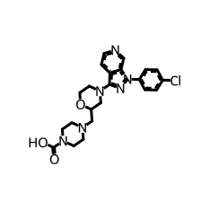 O=C(O)N1CCN(CC2CN(c3nn(-c4ccc(Cl)cc4)c4cnccc34)CCO2)CC1